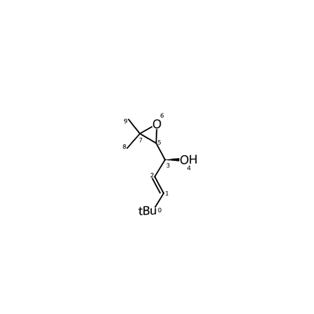 CC(C)(C)/C=C/[C@H](O)C1OC1(C)C